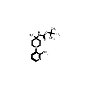 CC1(NC(=O)OC(C)(C)C)CCN(c2cccnc2N)CC1